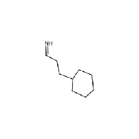 N=CCCC1CCCCC1